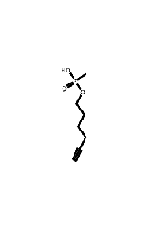 C#CCCCCOP(C)(=O)O